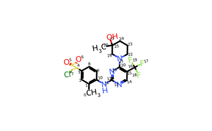 Cc1cc(S(=O)(=O)Cl)ccc1Nc1ncc(C(F)(F)F)c(N2CCCC(C)(O)C2)n1